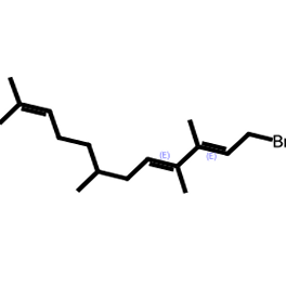 CC(C)=CCCC(C)C/C=C(C)/C(C)=C/CBr